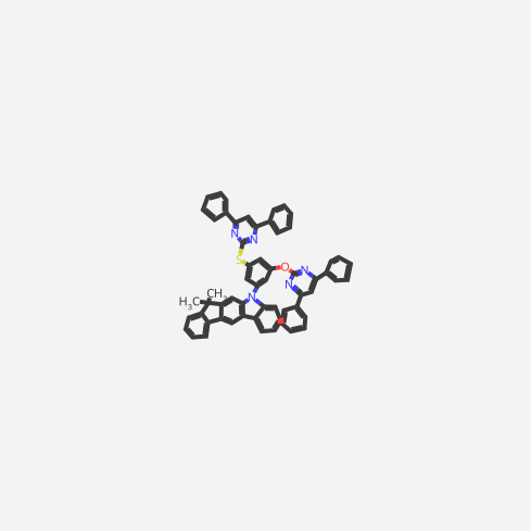 CC1(C)c2ccccc2-c2cc3c4ccccc4n(-c4cc(Oc5nc(-c6ccccc6)cc(-c6ccccc6)n5)cc(Sc5nc(-c6ccccc6)cc(-c6ccccc6)n5)c4)c3cc21